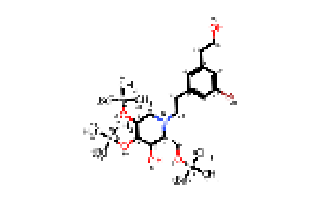 CC(C)(C)[Si](C)(C)OC[C@@H]1[C@@H](O)C(O[Si](C)(C)C(C)(C)C)C(O[Si](C)(C)C(C)(C)C)CN1CCc1cc(Br)cc(CCO)c1